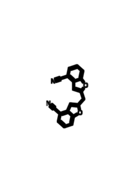 N#Cc1cccc2oc(Cc3cc4c(C#N)cccc4o3)cc12